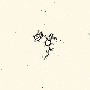 CCOC(=O)c1ccc(NC2C3CC4CC(C3)CC2C4)c([N+](=O)[O-])c1